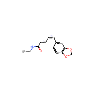 CC(C)CNC(=O)/C=C/C=C\c1ccc2c(c1)OCO2